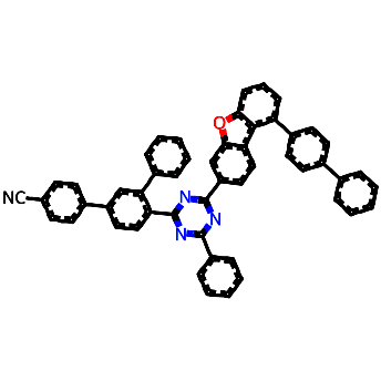 N#Cc1ccc(-c2ccc(-c3nc(-c4ccccc4)nc(-c4ccc5c(c4)oc4cccc(-c6ccc(-c7ccccc7)cc6)c45)n3)c(-c3ccccc3)c2)cc1